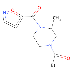 CCC(=O)N1CCN(C(=O)c2ccno2)C(C)C1